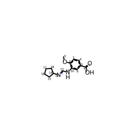 COc1ccc(C(=O)O)cc1N/C=N/C1CCCC1